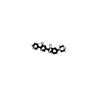 Clc1cc(-c2nc3ccc(N4CCOCC4)cc3[nH]2)cnc1-c1cccnc1